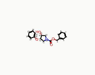 O=C(OCc1ccccc1)N1C[C@H](Oc2ccccc2)[C@@H](O)C1